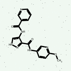 COc1ccc(NC(=O)c2n[nH]cc2NC(=O)c2cccnc2)cn1